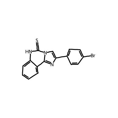 S=c1[nH]c2ccccc2c2nc(-c3ccc(Br)cc3)cn12